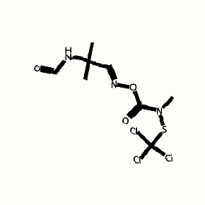 CN(SC(Cl)(Cl)Cl)C(=O)ON=CC(C)(C)NC=O